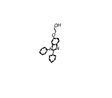 OCCOc1ccc2nc(-c3ccccc3)n(-c3ccccc3)c2c1